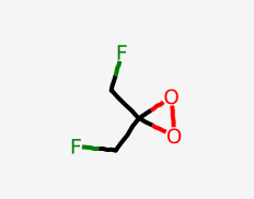 FCC1(CF)OO1